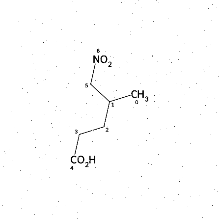 CC(CCC(=O)O)C[N+](=O)[O-]